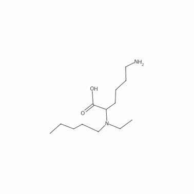 CCCCCN(CC)C(CCCCN)C(=O)O